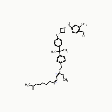 C=N/C(=C\C=N/CCCCCNC)CCc1ccc(C(C)(C)c2ccc(O[C@H]3C[C@@H](Nc4ccc(C=O)c(C)c4)C3)cc2)cc1